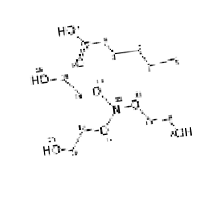 CCCCCC(=O)O.OCCON(OCCO)OCCO